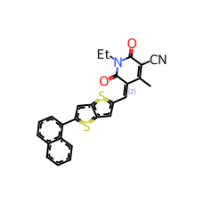 CCN1C(=O)C(C#N)=C(C)/C(=C/c2cc3sc(-c4cccc5ccccc45)cc3s2)C1=O